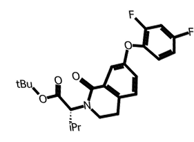 CC(C)[C@H](C(=O)OC(C)(C)C)N1CCc2ccc(Oc3ccc(F)cc3F)cc2C1=O